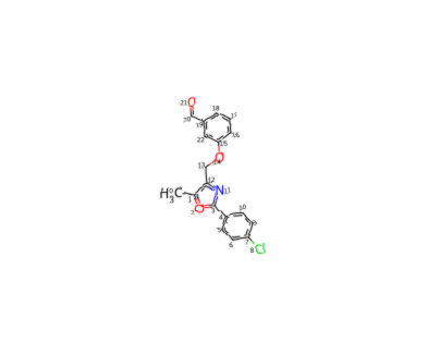 Cc1oc(-c2ccc(Cl)cc2)nc1COc1cccc(C=O)c1